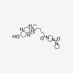 C[C@H](CCC(=O)N1CCN(C(=O)N2CCCC2)CC1)[C@H]1CC[C@H]2[C@@H]3CC[C@H]4C[C@@H](O)CC[C@]4(C)[C@H]3CC[C@]12C